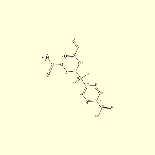 C=CC(=O)OC(COC(N)=O)C(C)(C)c1ccc(C(=C)C)cc1